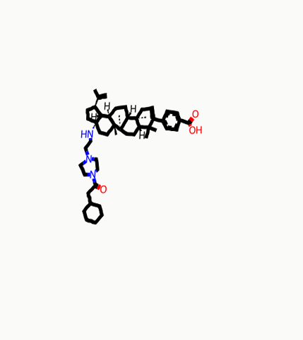 C=C(C)[C@@H]1CC[C@]2(NCCN3CCN(C(=O)CC4CCCCC4)CC3)CC[C@]3(C)[C@H](CC[C@@H]4[C@@]5(C)CC=C(c6ccc(C(=O)O)cc6)C(C)(C)[C@@H]5CC[C@]43C)[C@@H]12